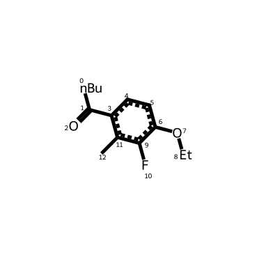 CCCCC(=O)c1ccc(OCC)c(F)c1C